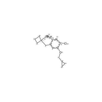 O=C(O)C1(Cc2cc(OCC3CC3)c(Cl)nc2Br)CCC1